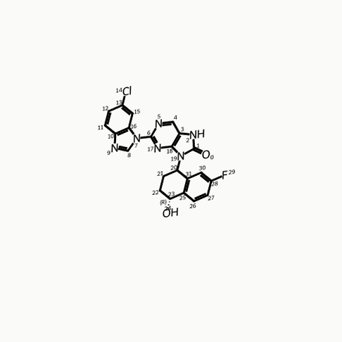 O=c1[nH]c2cnc(-n3cnc4ccc(Cl)cc43)nc2n1C1CC[C@@H](O)c2ccc(F)cc21